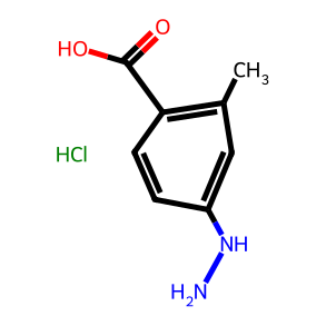 Cc1cc(NN)ccc1C(=O)O.Cl